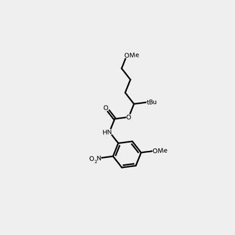 COCCCC(OC(=O)Nc1cc(OC)ccc1[N+](=O)[O-])C(C)(C)C